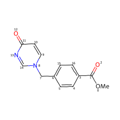 COC(=O)c1ccc(Cn2ccc(=O)nc2)cc1